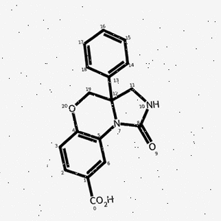 O=C(O)c1ccc2c(c1)N1C(=O)NCC1(c1ccccc1)CO2